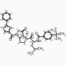 CC(C)C[C@H](NC(=O)c1ccc(C(C)(C)C)cc1)C(=O)N1CCC2[C@H]1C(=O)CN2C(=O)c1csc(-c2ccccc2)n1